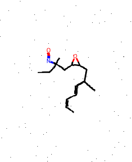 C/C=C\C=C\C(C)CC1OC1CC(C)(CC)N=O